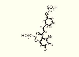 Cc1cc(OCC(=O)O)c(C(=O)C=Cc2cccc(OCC(=O)O)c2)c(=O)n1C